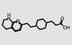 O=C(O)CCC1CCC(CCc2ccc3c(n2)NCCC3)CC1